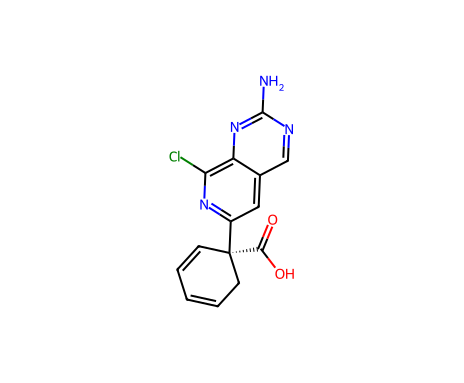 Nc1ncc2cc([C@]3(C(=O)O)C=CC=CC3)nc(Cl)c2n1